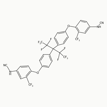 N#CNc1ccc(Oc2ccc(C(c3ccc(Oc4ccc(NC#N)cc4C(F)(F)F)cc3)(C(F)(F)C(F)(F)F)C(F)(F)C(F)(F)F)cc2)c(C(F)(F)F)c1